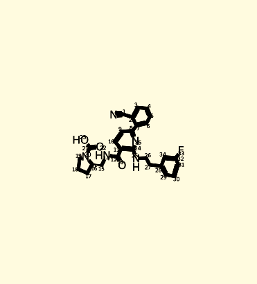 N#Cc1ccccc1-c1ccc(C(=O)NC[C@H]2CCCN2C(=O)O)c(NCCc2cccc(F)c2)n1